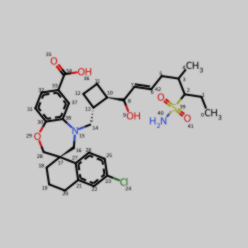 CCC(C(C)C/C=C/C(O)[C@@H]1CC[C@H]1CN1C[C@@]2(CCCc3cc(Cl)ccc32)COc2ccc(C(=O)O)cc21)S(N)(=O)=O